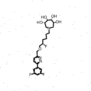 O[C@H]1[C@H](O)[C@@H](O)CN(CCCC[C@@H](F)COCc2ccc(-c3cc(F)cc(F)c3)nn2)C[C@@H]1O